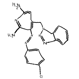 Nc1cc(Cn2nnc3ccccc32)c(/N=N/c2ccc(Cl)cc2)c(N)n1